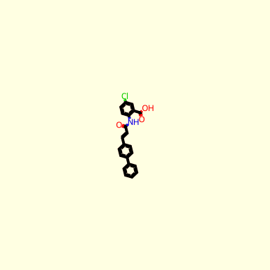 O=C(C=Cc1ccc(-c2ccccc2)cc1)Nc1ccc(Cl)cc1C(=O)O